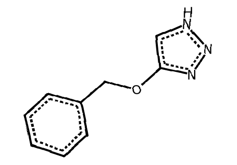 c1ccc(COc2c[nH]nn2)cc1